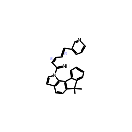 CC1(C)c2ccccc2-c2c1ccc1ccn(C(=N)/C=C\C=C\c3cccnc3)c21